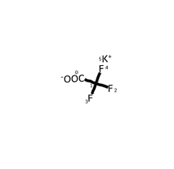 O=C([O-])C(F)(F)F.[K+]